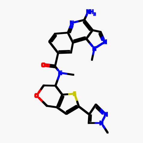 CN(C(=O)c1ccc2nc(N)c3cnn(C)c3c2c1)C1COCc2cc(-c3cnn(C)c3)sc21